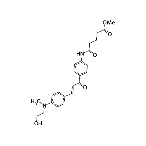 COC(=O)CCCC(=O)Nc1ccc(C(=O)/C=C/c2ccc(N(C)CCO)cc2)cc1